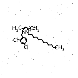 CCCCCCCCCCCC[n+]1c(C)cc(C)n1Cc1ccc(Cl)cc1Cl.[Br-]